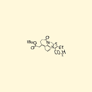 CCc1sc(CN2C(=O)CCC(CC(=O)OC(C)(C)C)=C3CC=CC=C32)nc1C(=O)O